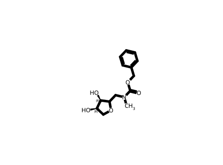 CN(CC1OC[C@@H](O)[C@H]1O)C(=O)OCc1ccccc1